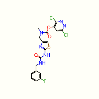 CN(Cc1csc(NC(=O)NCc2cccc(F)c2)n1)C(=O)Oc1cc(Cl)nnc1Cl